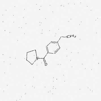 CCc1ccc(C(=O)N2CCCC2)cc1